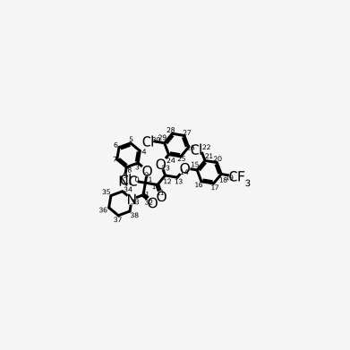 N#CC(Oc1ccccc1Cl)(C(=O)C(COc1ccc(C(F)(F)F)cc1Cl)Oc1ccccc1Cl)C(=O)N1CCCCC1